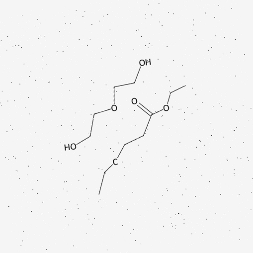 CCCCCC(=O)OCC.OCCOCCO